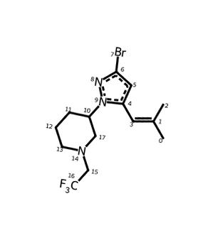 CC(C)=Cc1cc(Br)nn1C1CCCN(CC(F)(F)F)C1